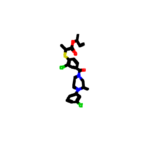 CCC(C)OC(=O)C(C)Sc1ccc(C(=O)N2CCN(c3cccc(Cl)c3)C(C)C2)cc1Cl